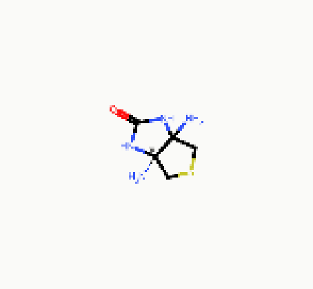 NC12CSC[C@@]1(N)NC(=O)N2